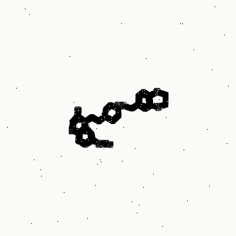 COc1ccc2ncc(=O)n(CCN3CCC(NCc4ccc5c(c4)OCCO5)CC3)c2c1